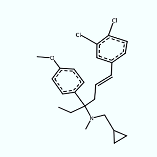 CCC(CC=Cc1ccc(Cl)c(Cl)c1)(c1ccc(OC)cc1)N(C)CC1CC1